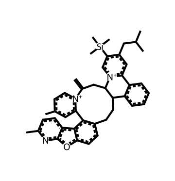 C=C1CC2C(CCc3ccc4oc5nc(C)ccc5c4c3-c3cc(C)cc[n+]31)c1ccccc1-c1cc(CC(C)C)c([Si](C)(C)C)c[n+]12